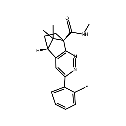 CNC(=O)[C@@]12CC[C@@H](c3cc(-c4ccccc4F)nnc31)C2(C)C